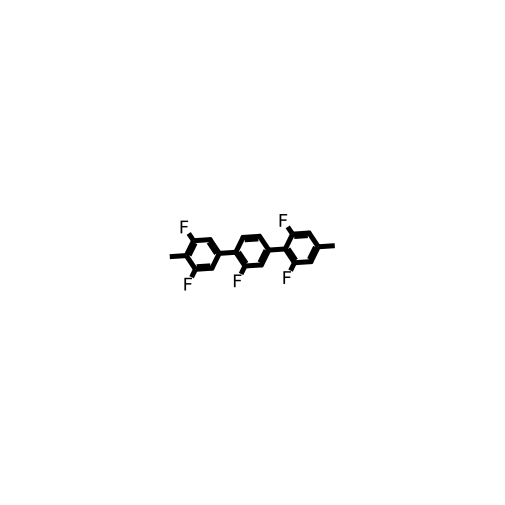 Cc1cc(F)c(-c2ccc(-c3cc(F)c(C)c(F)c3)c(F)c2)c(F)c1